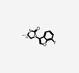 C[C@H]1CN(c2coc3c(F)cccc23)C(=O)S1